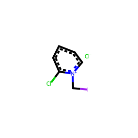 Clc1cccc[n+]1CI.[Cl-]